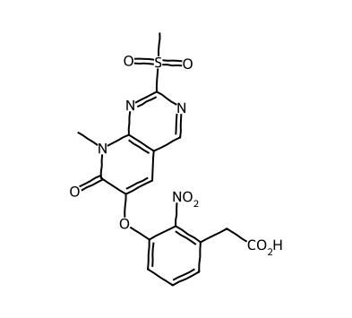 Cn1c(=O)c(Oc2cccc(CC(=O)O)c2[N+](=O)[O-])cc2cnc(S(C)(=O)=O)nc21